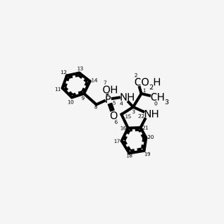 CC(C(=O)O)C1(NP(=O)(O)Cc2ccccc2)Cc2ccccc2N1